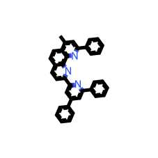 Cc1cc(-c2ccccc2)nc2c1ccc1ccc(-c3cc(-c4ccccc4)cc(-c4ccccc4)n3)nc12